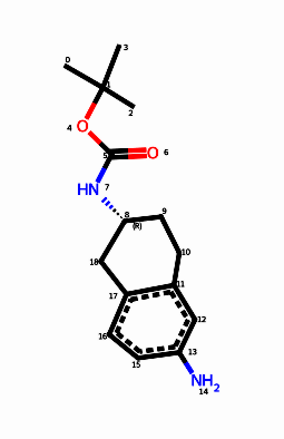 CC(C)(C)OC(=O)N[C@@H]1CCc2cc(N)ccc2C1